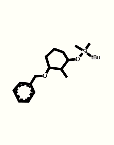 CC1C(OCc2ccccc2)CCCC1O[Si](C)(C)C(C)(C)C